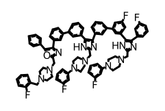 Fc1cccc(-c2nc(CN3CCN(c4cccc(F)c4)CC3)[nH]c2-c2cc(F)cc(-c3cccc(-c4nc(CN5CCN(c6cccc(F)c6)CC5)[nH]c4-c4cccc(-c5cccc(-c6nc(CN7CCN(Cc8ccccc8F)CC7)oc6-c6ccccc6)c5)c4)c3)c2)c1